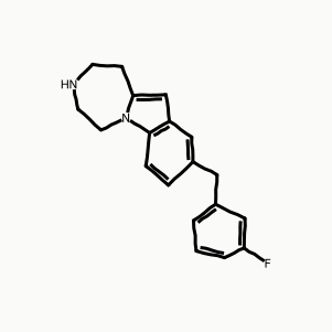 Fc1cccc(Cc2ccc3c(c2)cc2n3CCNCC2)c1